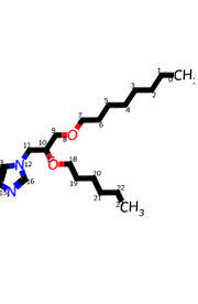 CCCCCCCCOCC(Cn1ccnc1)OCCCCCC